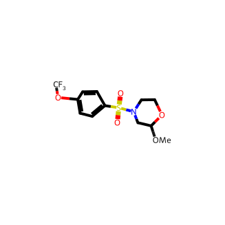 COC1CN(S(=O)(=O)c2ccc(OC(F)(F)F)cc2)CCO1